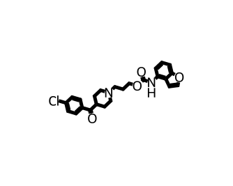 O=C(Nc1cccc2occc12)OCCCN1CCC(C(=O)c2ccc(Cl)cc2)CC1